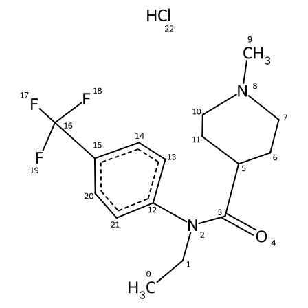 CCN(C(=O)C1CCN(C)CC1)c1ccc(C(F)(F)F)cc1.Cl